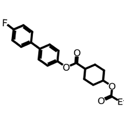 CCC(=O)OC1CCC(C(=O)Oc2ccc(-c3ccc(F)cc3)cc2)CC1